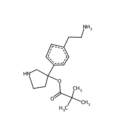 CC(C)(C)C(=O)OC1(c2ccc(CCN)cc2)CCNC1